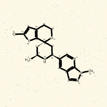 C[C@H]1C[C@@]2(C[C@@H](c3cnc4c(cnn4C)c3)N1)OCCc1cc(Cl)sc12